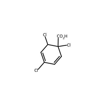 O=C(O)C1(Cl)C=CC(Cl)=CC1Cl